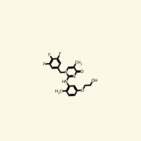 Cc1ccc(OCCO)cc1Nc1nc(=O)c(C)cn1Cc1cc(F)c(F)c(F)c1